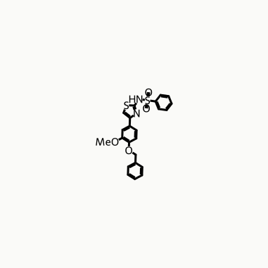 COc1cc(-c2csc(NS(=O)(=O)c3ccccc3)n2)ccc1OCc1ccccc1